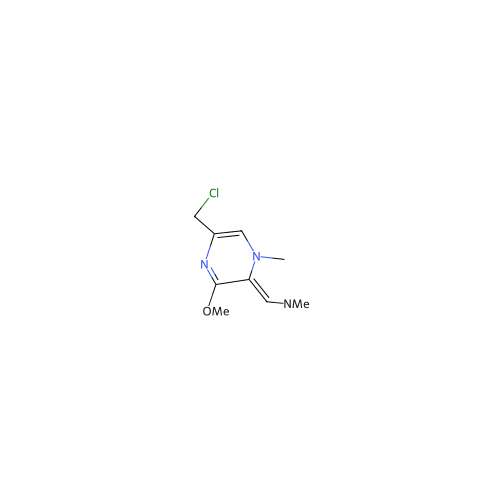 CN/C=C1/C(OC)=NC(CCl)=CN1C